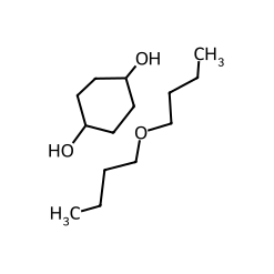 CCCCOCCCC.OC1CCC(O)CC1